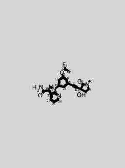 CN1CC[C@@](O)(C#Cc2cc(OC(F)F)cc(-n3nc(C(N)=O)c4cccnc43)c2)C1=O